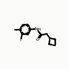 Cc1ccc(NC(=O)CC2CCC2)cc1I